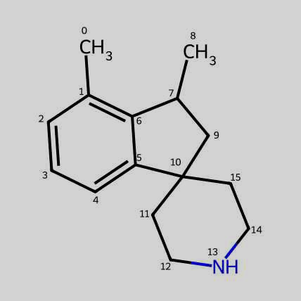 Cc1cccc2c1C(C)CC21CCNCC1